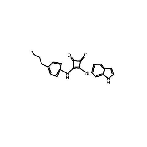 CCCCc1ccc(Nc2c(Nc3ccc4cc[nH]c4c3)c(=O)c2=O)cc1